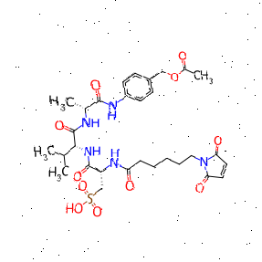 CC(=O)OCc1ccc(NC(=O)[C@@H](C)NC(=O)[C@H](NC(=O)[C@@H](CS(=O)(=O)O)NC(=O)CCCCCN2C(=O)C=CC2=O)C(C)C)cc1